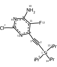 CC(C)[Si](C#Cc1nc(Cl)nc(N)c1F)(C(C)C)C(C)C